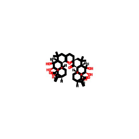 C=C1C(=O)[C@]23[C@H](O)[C@H]1CC[C@H]2[C@@]12CO[C@]3(O)[C@@H](O)[C@@H]1C(C)(C)C[C@]1(CCC3=C(O1)[C@]14CO[C@](O)([C@@H](O)[C@@H]1C(C)(C)C3)[C@]13C(=O)C(=C)[C@H](CC[C@@H]41)[C@H]3O)C2=O